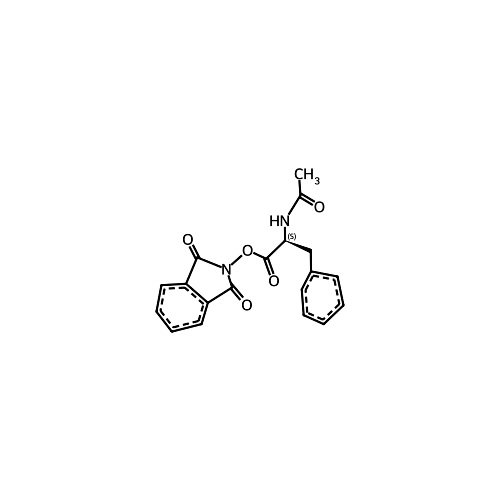 CC(=O)N[C@@H](Cc1ccccc1)C(=O)ON1C(=O)c2ccccc2C1=O